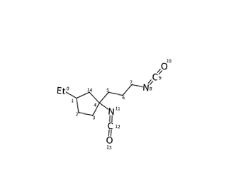 CCC1CCC(CCCN=C=O)(N=C=O)C1